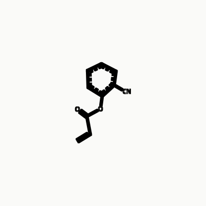 C=CC(=O)Oc1ccccc1C#N